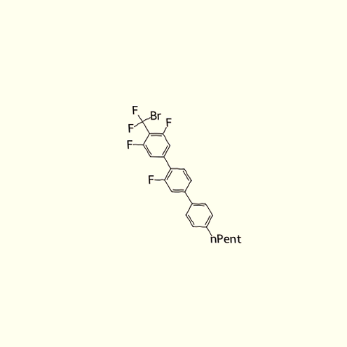 CCCCCc1ccc(-c2ccc(-c3cc(F)c(C(F)(F)Br)c(F)c3)c(F)c2)cc1